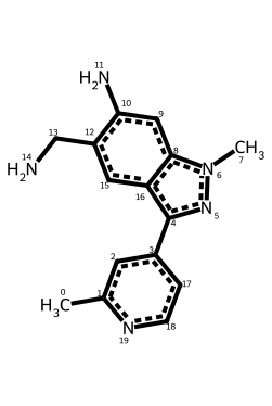 Cc1cc(-c2nn(C)c3cc(N)c(CN)cc23)ccn1